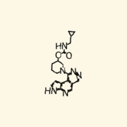 O=C(NCC1CC1)OC1CCCN(c2nncc3cnc4[nH]ccc4c23)C1